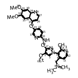 CCOc1cn(-c2c(CN(C)C)ccnc2C)nc1ONc1ccc(OC2=CC=NC3C=C(OC)C(OC)=CC23)cn1